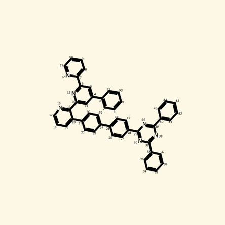 c1ccc(-c2cc(-c3ccccn3)nc(-c3ncccc3-c3ccc(-c4ccc(-c5nc(-c6ccccc6)nc(-c6ccccc6)n5)cc4)cc3)c2)cc1